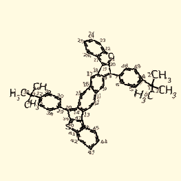 CC(C)(C)c1ccc(C2=c3cc4cc5c(cc4cc3-c3c2oc2ccccc32)=C(c2ccc(C(C)(C)C)cc2)c2sc3ccccc3c2-5)cc1